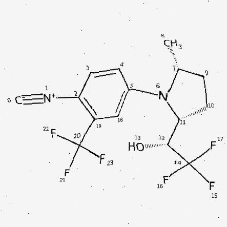 [C-]#[N+]c1ccc(N2[C@H](C)CC[C@@H]2[C@@H](O)C(F)(F)F)cc1C(F)(F)F